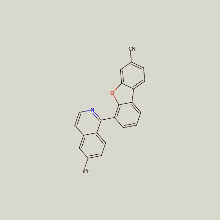 CC(C)c1ccc2c(-c3cccc4c3oc3cc(C#N)ccc34)nccc2c1